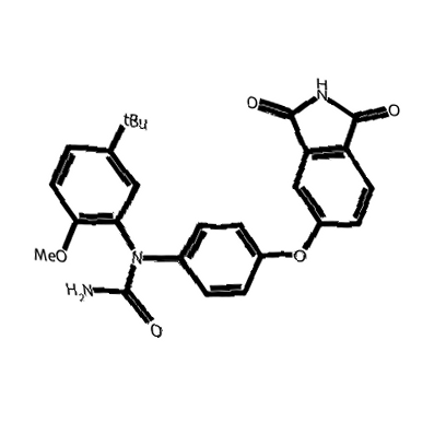 COc1ccc(C(C)(C)C)cc1N(C(N)=O)c1ccc(Oc2ccc3c(c2)C(=O)NC3=O)cc1